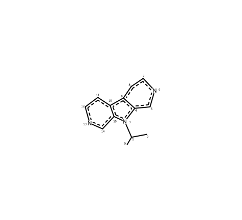 CC(C)n1c2cnccc2c2ccncc21